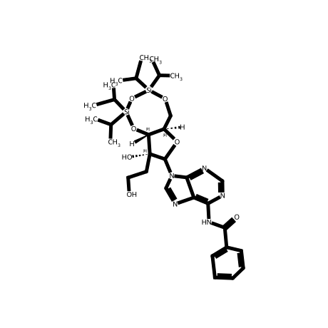 CC(C)[Si]1(C(C)C)OC[C@H]2OC(n3cnc4c(NC(=O)c5ccccc5)ncnc43)[C@@](O)(CCO)[C@@H]2O[Si](C(C)C)(C(C)C)O1